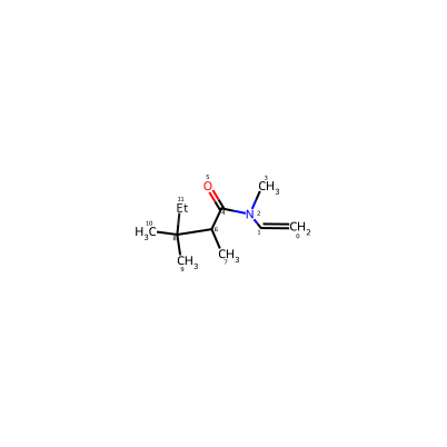 C=CN(C)C(=O)C(C)C(C)(C)CC